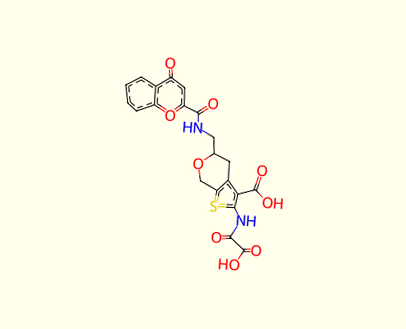 O=C(O)C(=O)Nc1sc2c(c1C(=O)O)CC(CNC(=O)c1cc(=O)c3ccccc3o1)OC2